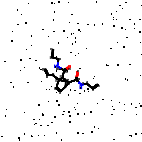 C=CCNC(=O)C1C2C=CC(CC=C)(C2)C1C(=O)NCC=C